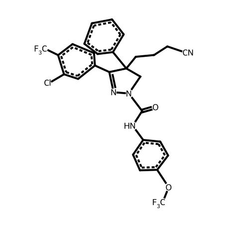 N#CCCCC1(c2ccccc2)CN(C(=O)Nc2ccc(OC(F)(F)F)cc2)N=C1c1ccc(C(F)(F)F)c(Cl)c1